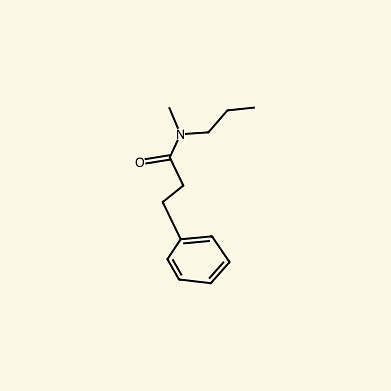 CCCN(C)C(=O)CCc1ccccc1